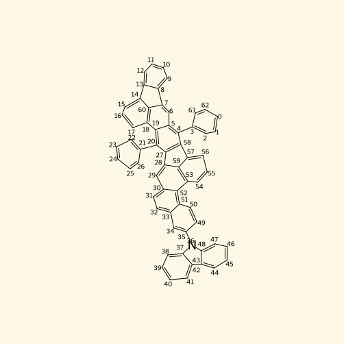 c1ccc(-c2c3cc4c5ccccc5c5cccc(c3c(-c3ccccc3)c3c6cc7ccc8cc(-n9c%10ccccc%10c%10ccccc%109)ccc8c7c7cccc(c23)c67)c54)cc1